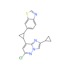 Clc1cc(C2CC2c2ccc3ncsc3c2)c2nc(C3CC3)cn2n1